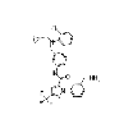 NCc1cccc(-n2nc(C(F)(F)F)cc2C(=O)Nc2cccc(CN(CC3CC3)c3ccccc3Cl)c2)c1